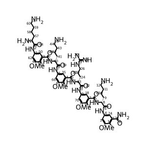 COc1ccc(NC(=O)[C@@H](CCCCN)NC(=O)c2cc(NC(=O)[C@@H](CCCNC(=N)N)NC(=O)c3cc(NC(=O)[C@@H](CCCCN)NC(=O)c4cc(NC(=O)[C@H](N)CCCCN)ccc4OC)ccc3OC)ccc2OC)cc1C(N)=O